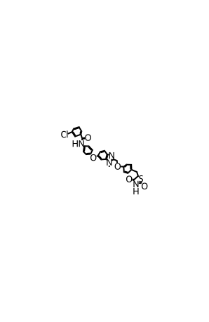 Cn1c(COc2ccc(CC3SC(=O)NC3=O)cc2)nc2ccc(Oc3ccc(NC(=O)c4cccc(Cl)c4)cc3)cc21